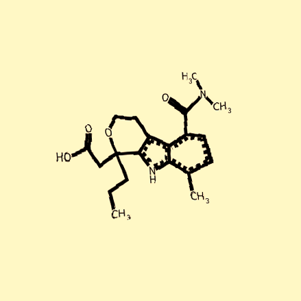 CCCC1(CC(=O)O)OCCc2c1[nH]c1c(C)ccc(C(=O)N(C)C)c21